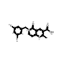 Cc1nc2ccn(Cc3cc(F)cc(F)c3)c(=O)c2cc1C(=O)O